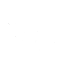 Cc1nc(NC(C)c2cccc(C(F)(F)F)c2)c2c(n1)N1CCN=C1C(c1cncc(C#N)c1)=C2